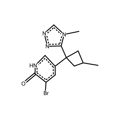 CC1CC(c2c[nH]c(=O)c(Br)c2)(c2nncn2C)C1